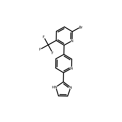 FC(F)(F)c1ccc(Br)nc1-c1ccc(-c2ncc[nH]2)nc1